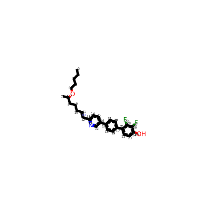 CCCCCOC(C)CCC/C=C/c1ccc(-c2ccc(-c3ccc(O)c(F)c3F)cc2)cn1